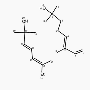 C=CC(C)=CCCC(C)(C)O.CCC(C)=CC=CC(C)(C)O